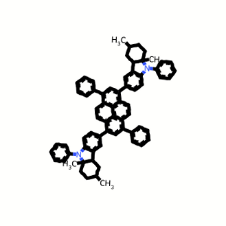 CC1CCC2(C)C(C1)c1cc(-c3cc(-c4ccccc4)c4ccc5c(-c6ccc7c(c6)C6CC(C)CCC6(C)N7c6ccccc6)cc(-c6ccccc6)c6ccc3c4c65)ccc1N2c1ccccc1